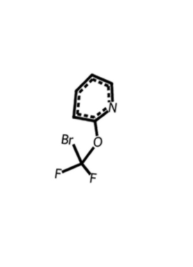 FC(F)(Br)Oc1ccccn1